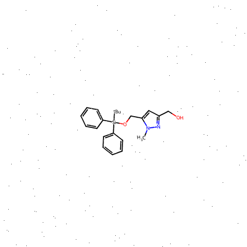 Cn1nc(CO)cc1CO[Si](c1ccccc1)(c1ccccc1)C(C)(C)C